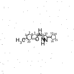 Cc1ccc(CC(=O)Nc2cc(C3CCCC3)n[nH]2)cc1